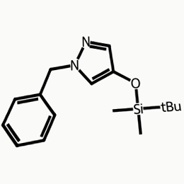 CC(C)(C)[Si](C)(C)Oc1cnn(Cc2ccccc2)c1